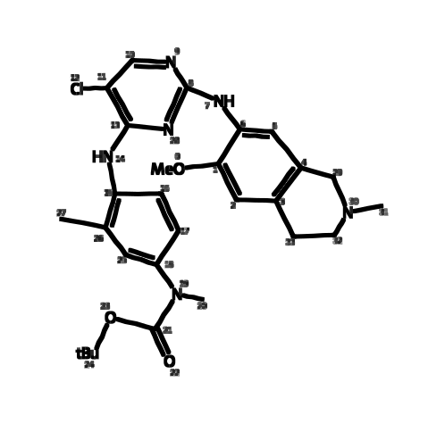 COc1cc2c(cc1Nc1ncc(Cl)c(Nc3ccc(N(C)C(=O)OC(C)(C)C)cc3C)n1)CN(C)CC2